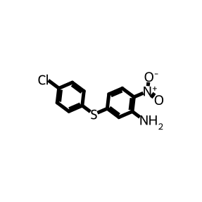 Nc1cc(Sc2ccc(Cl)cc2)ccc1[N+](=O)[O-]